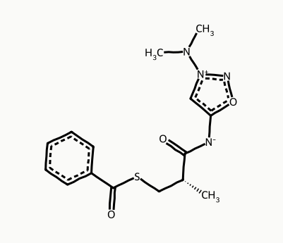 C[C@H](CSC(=O)c1ccccc1)C(=O)[N-]c1c[n+](N(C)C)no1